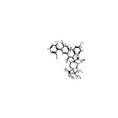 CC(C)(C)[N+]1(C(=O)[O-])CCC(C(=O)O)(C(C(=O)c2ccc(=O)n(-c3c(F)cccc3F)c2)c2ccc(F)cc2F)CC1